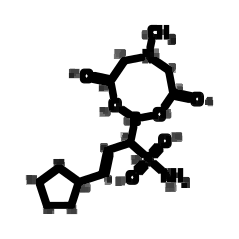 CN1CC(=O)OB(C(C=CC2CCCC2)S(N)(=O)=O)OC(=O)C1